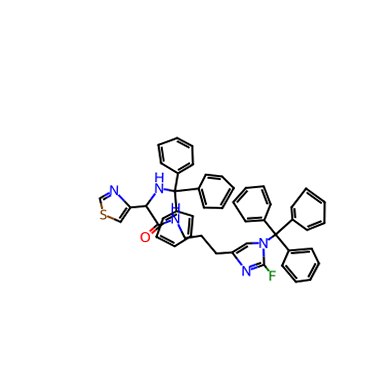 O=C(NCCCc1cn(C(c2ccccc2)(c2ccccc2)c2ccccc2)c(F)n1)C(NC(c1ccccc1)(c1ccccc1)c1ccccc1)c1cscn1